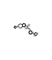 O=C(NCc1cccc(-n2cncn2)c1)c1ccc2c(c1)CCN(C1=CC=C1)CC2